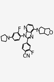 N#Cc1ccc(-c2nc3c(N4CC5COCC5C4)ccnc3n2-c2ccc(N3CCCC3)cc2F)cc1F